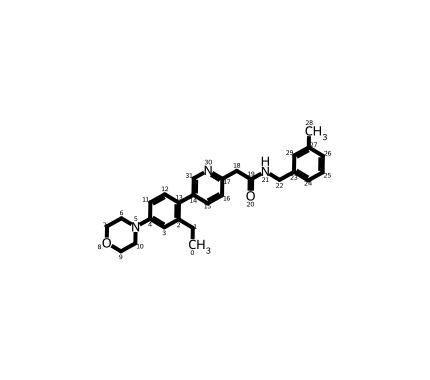 CCc1cc(N2CCOCC2)ccc1-c1ccc(CC(=O)NCc2cccc(C)c2)nc1